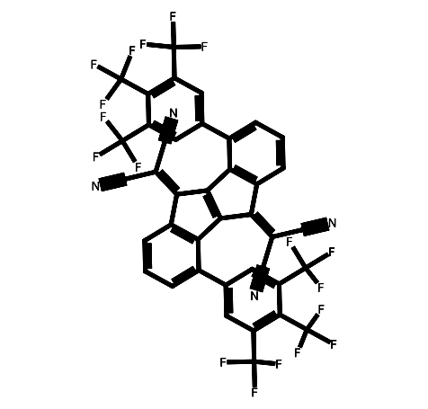 N#CC(C#N)=C1C2=C(C(=C(C#N)C#N)c3cccc(-c4cc(C(F)(F)F)c(C(F)(F)F)c(C(F)(F)F)c4)c32)c2c1cccc2-c1cc(C(F)(F)F)c(C(F)(F)F)c(C(F)(F)F)c1